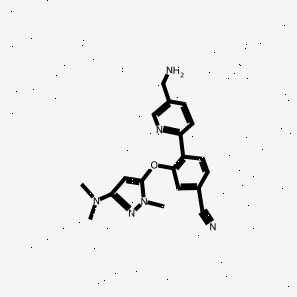 CN(C)c1cc(Oc2cc(C#N)ccc2-c2ccc(CN)cn2)n(C)n1